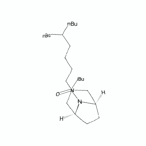 CCCCC(CCCC)CCCCN1C[C@H]2CC[C@@H](C1)N2C(=O)C(C)CC